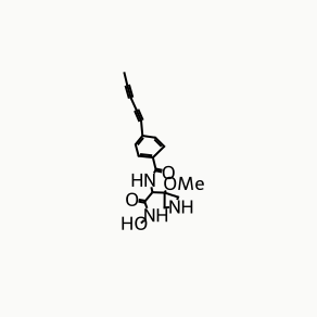 CC#CC#Cc1ccc(C(=O)NC(C(=O)NO)C2(OC)CNC2)cc1